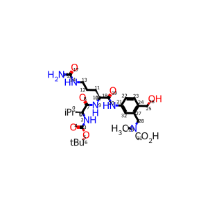 CC(C)[C@H](NC(=O)OC(C)(C)C)C(=O)N[C@@H](CCCNC(N)=O)C(=O)Nc1ccc(CO)c(CN(C)C(=O)O)c1